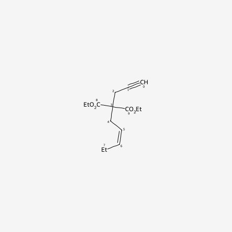 C#CCC(C/C=C\CC)(C(=O)OCC)C(=O)OCC